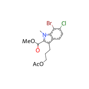 COC(=O)c1c(CCCOC(C)=O)c2ccc(Cl)c(Br)c2n1C